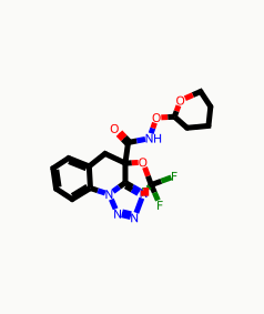 O=C(NOC1CCCCO1)C1(OC(F)(F)F)Cc2ccccc2-n2nnnc21